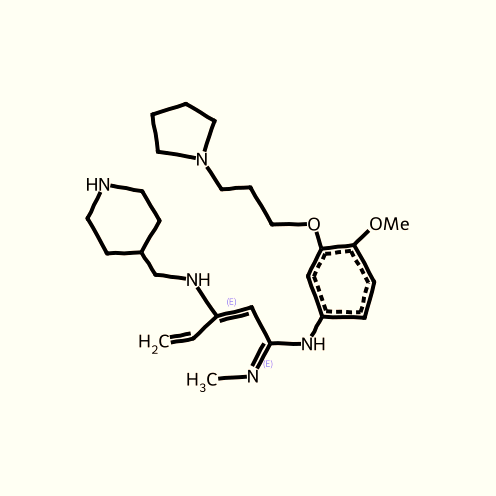 C=C/C(=C\C(=N/C)Nc1ccc(OC)c(OCCCN2CCCC2)c1)NCC1CCNCC1